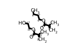 C=C(C)C(=O)OCCCC.C=C(C)C(=O)OCCO